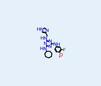 COc1ccc(Nc2nc(NCc3c[nH]cn3)nc(NC3CCCCCC3)n2)cc1F